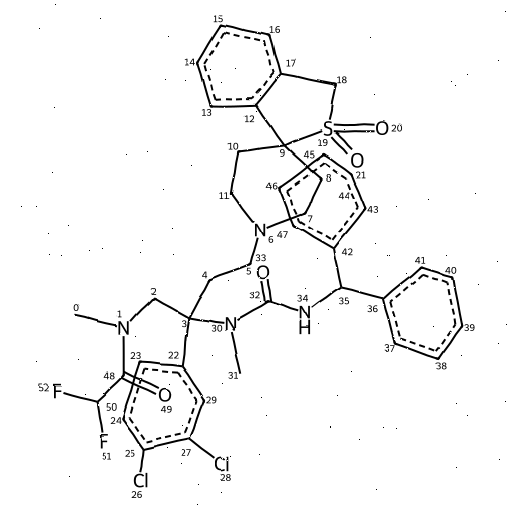 CN(CC(CCN1CCC2(CC1)c1ccccc1CS2(=O)=O)(c1ccc(Cl)c(Cl)c1)N(C)C(=O)NC(c1ccccc1)c1ccccc1)C(=O)C(F)F